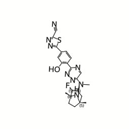 CN(c1cnc(-c2ccc(-c3nnc(C#N)s3)cc2O)nn1)[C@H]1C[C@]2(C)CC[C@@](C)(N2)[C@H]1F